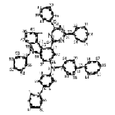 c1ccc(-c2ccc(N(c3ccc(-c4ccccc4)cc3)c3cc(-c4nc(-c5ccccc5)nc(-c5ccccc5)n4)c4c5ccccc5n(-c5ccccc5)c4c3)cc2)cc1